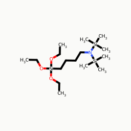 CCO[Si](CCCCN([Si](C)(C)C)[Si](C)(C)C)(OCC)OCC